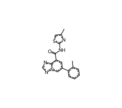 Cc1csc(NC(=O)c2cc(-c3ccccc3C)cn3ncnc23)n1